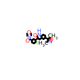 Cc1noc(C)c1-c1ccc2[nH]c(=O)c(-c3cc(C(=O)N4CCOCC4)ccc3F)cc2c1